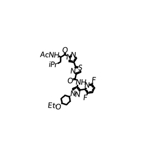 CCO[C@H]1CC[C@H](n2cc(NC(=O)c3csc(-c4cnn(C(=O)C(CC(C)C)NC(C)=O)c4)n3)c(-c3nc(F)ccc3F)n2)CC1